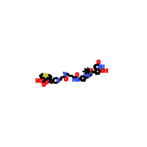 CN(CCCCC(=O)Nc1ccc(CNC[C@H](O[Si](C)(C)C(C)(C)C)c2ccc(O)c3[nH]c(=O)ccc23)cc1)C(=O)CCN1CCC2(CC1)CC(OC(C(=O)O)(c1cccs1)c1cccs1)C2